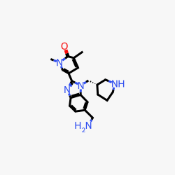 Cc1cc(-c2nc3ccc(CN)cc3n2C[C@H]2CCCNC2)cn(C)c1=O